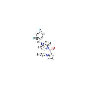 O=C([C@@H]1CCCN1C(=O)O)N1C[C@@H]2C[C@H]1CN2Cc1ccc(F)cc1F